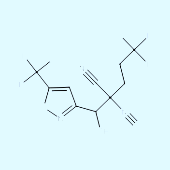 [C-]#[N+]C(C#N)(CCC(F)(F)F)C(C)c1cc(C(F)(F)F)on1